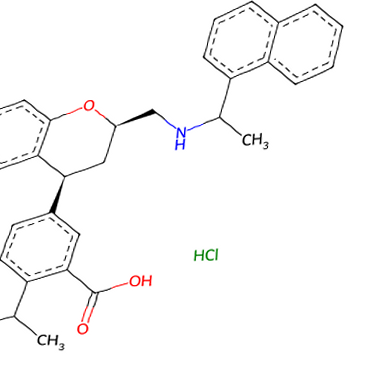 CC(C)c1ccc([C@@H]2C[C@H](CNC(C)c3cccc4ccccc34)Oc3ccccc32)cc1C(=O)O.Cl